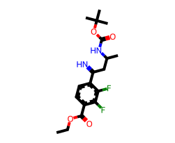 CCOC(=O)c1ccc(C(=N)CC(C)NC(=O)OC(C)(C)C)c(F)c1F